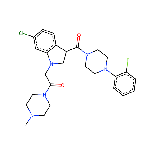 CN1CCN(C(=O)CN2CC(C(=O)N3CCN(c4ccccc4F)CC3)c3ccc(Cl)cc32)CC1